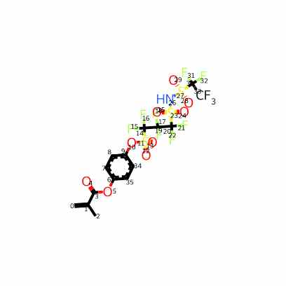 C=C(C)C(=O)Oc1ccc(OS(=O)(=O)C(F)(F)C(F)(F)C(F)(F)S(=O)(=O)NS(=O)(=O)C(F)(F)C(F)(F)F)cc1